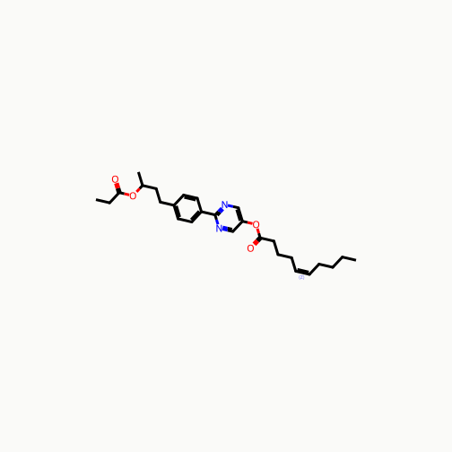 CCCC/C=C\CCCC(=O)Oc1cnc(-c2ccc(CCC(C)OC(=O)CC)cc2)nc1